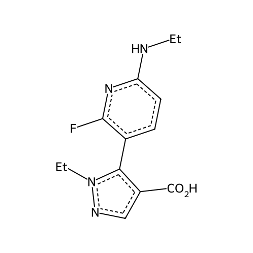 CCNc1ccc(-c2c(C(=O)O)cnn2CC)c(F)n1